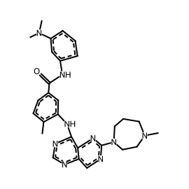 Cc1ccc(C(=O)Nc2cccc(N(C)C)c2)cc1Nc1ncnc2cnc(N3CCCN(C)CC3)nc12